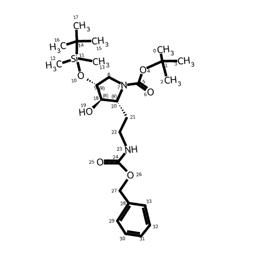 CC(C)(C)OC(=O)N1C[C@@H](O[Si](C)(C)C(C)(C)C)[C@H](O)[C@H]1CCNC(=O)OCc1ccccc1